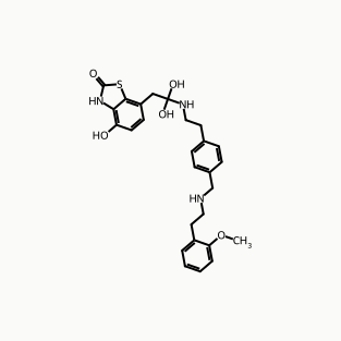 COc1ccccc1CCNCc1ccc(CCNC(O)(O)Cc2ccc(O)c3[nH]c(=O)sc23)cc1